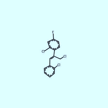 Fc1ccc(C(=Cc2ccccc2Cl)CCl)c(Cl)c1